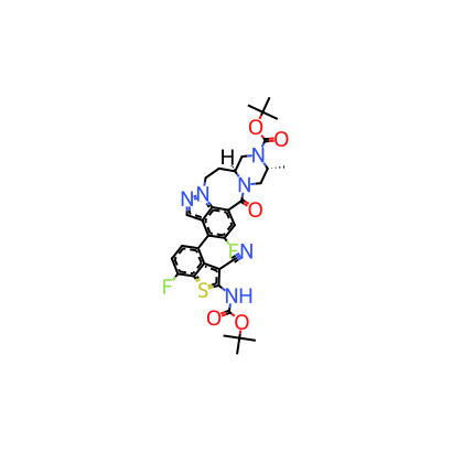 C[C@@H]1CN2C(=O)c3cc(F)c(-c4ccc(F)c5sc(NC(=O)OC(C)(C)C)c(C#N)c45)c4cnn(c34)CC[C@H]2CN1C(=O)OC(C)(C)C